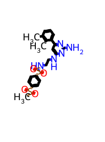 Cc1cccc(-c2cc(NCCNS(=O)(=O)c3ccc(S(C)(=O)=O)cc3)nc(N)n2)c1C